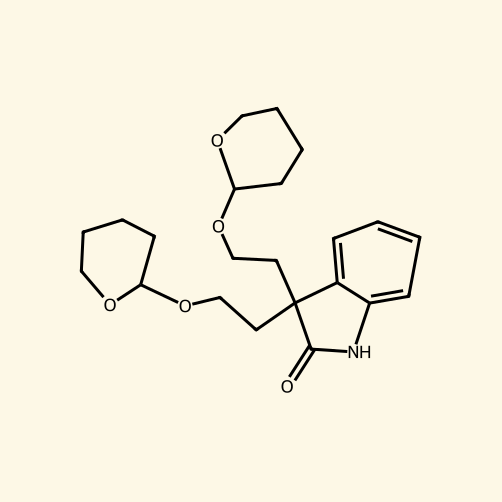 O=C1Nc2ccccc2C1(CCOC1CCCCO1)CCOC1CCCCO1